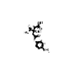 Nc1ccc(OC(=O)CC(O)(CC(=O)O)C(=O)O)cc1